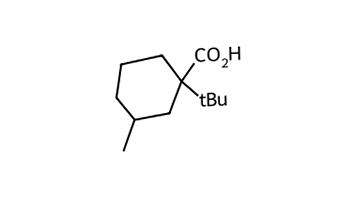 CC1CCCC(C(=O)O)(C(C)(C)C)C1